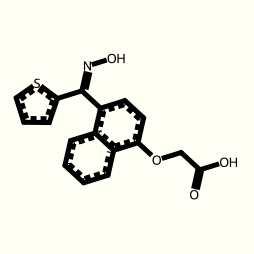 O=C(O)COc1ccc(/C(=N\O)c2cccs2)c2ccccc12